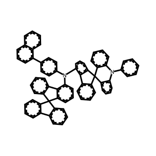 c1ccc(N2c3ccccc3C3(c4ccccc4-c4c(N(c5ccc(-c6cccc7ccccc67)cc5)c5cccc6c5-c5ccccc5C65c6ccccc6-c6ccccc65)cccc43)c3ccccc32)cc1